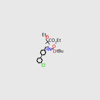 CCOCC(C)(C[C@@H](Cc1ccc(-c2cccc(Cl)c2)cc1)NC(=O)OC(C)(C)C)C(=O)OCC